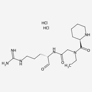 CCN(CC(=O)N[C@H](C=O)CCCNC(=N)N)C(=O)[C@H]1CCCCN1.Cl.Cl